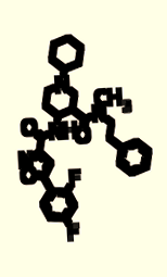 CN(CCc1ccccc1)C(=O)C1CN(C2CCCCC2)CCC1NC(=O)c1cc(-c2ccc(F)cc2F)on1